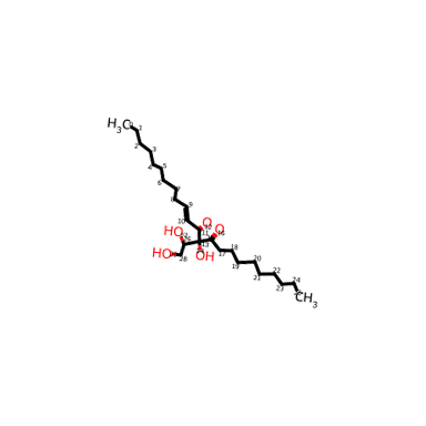 CCCCCCCCCC=CC(=O)C(O)(C(=O)CCCCCCCCC)C(O)CO